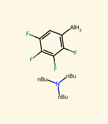 CCCCN(CCCC)CCCC.Fc1c[c]([AlH2])c(F)c(F)c1F